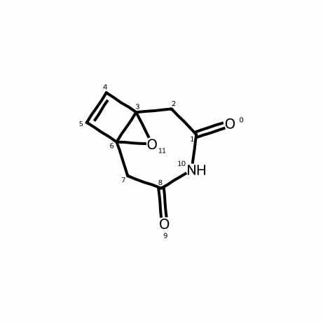 O=C1CC23C=CC2(CC(=O)N1)O3